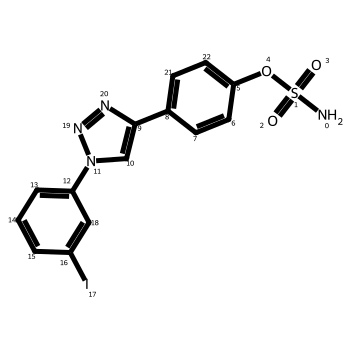 NS(=O)(=O)Oc1ccc(-c2cn(-c3cccc(I)c3)nn2)cc1